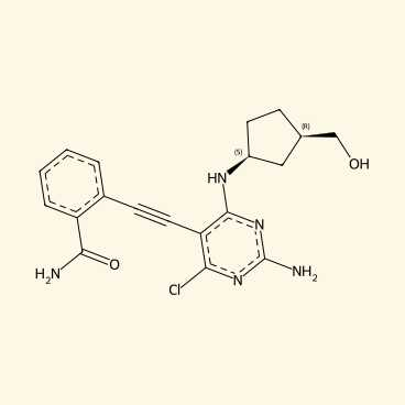 NC(=O)c1ccccc1C#Cc1c(Cl)nc(N)nc1N[C@H]1CC[C@@H](CO)C1